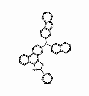 c1ccc(C2Nc3c(c4cc(N(c5ccc6ccccc6c5)c5ccc6c(c5)sc5ccccc56)ccc4c4ccccc34)S2)cc1